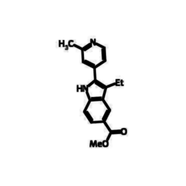 CCc1c(-c2ccnc(C)c2)[nH]c2ccc(C(=O)OC)cc12